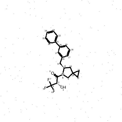 O=C([C@H](O)C(F)(F)F)N1CC2(CC2)C[C@@H]1Cc1cccc(-c2ccccc2)c1